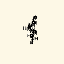 CN(C)CCNc1cc(F)cc(-c2nccc3[nH]c(-c4n[nH]c5cnc(-c6cncc(CN7CCCC7)c6)cc45)nc23)c1